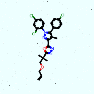 C=CCOCC(C)(C)c1nnc(-c2nn(-c3ccc(Cl)cc3Cl)c(-c3ccc(Cl)cc3)c2C)o1